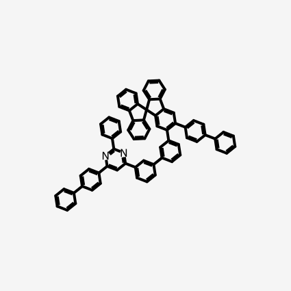 c1ccc(-c2ccc(-c3cc(-c4cccc(-c5cccc(-c6cc7c(cc6-c6ccc(-c8ccccc8)cc6)-c6ccccc6C76c7ccccc7-c7ccccc76)c5)c4)nc(-c4ccccc4)n3)cc2)cc1